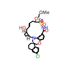 CC[C@H]1C(OCCOC)C/C=C/[C@H](O)[C@@H]2CC[C@H]2CN2C[C@@]3(CCCc4cc(Cl)ccc43)COc3ccc(cc32)C(=O)NS1(=O)=O